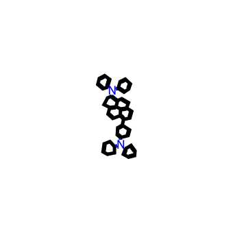 C1=CCC(N(c2ccccc2)c2ccc(-c3ccc4ccc5c6c(ccc3c46)CCC=5N(c3ccccc3)c3ccccc3)cc2)CC1